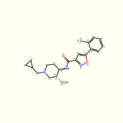 O=C(N[C@@H]1CCN(CC2CC2)C[C@H]1C(=O)O)c1cc(-c2ccccc2C(F)(F)F)on1